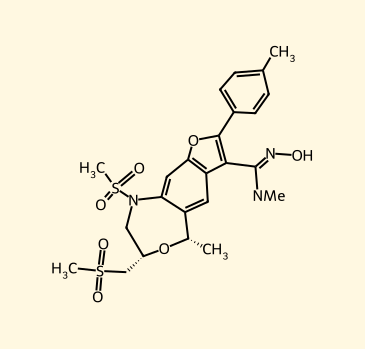 CN/C(=N\O)c1c(-c2ccc(C)cc2)oc2cc3c(cc12)[C@H](C)O[C@H](CS(C)(=O)=O)CN3S(C)(=O)=O